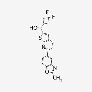 Cc1nc2cc(-c3ccc4cc([C@@H](O)C5CC(F)(F)C5)sc4n3)ccc2o1